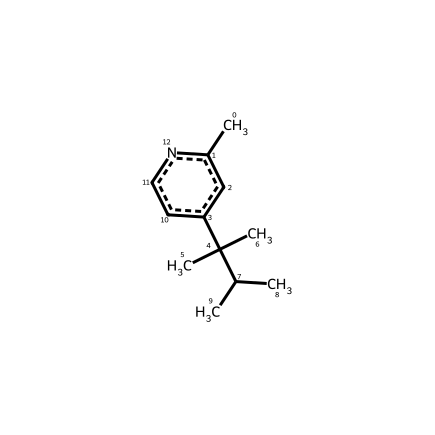 Cc1cc(C(C)(C)C(C)C)ccn1